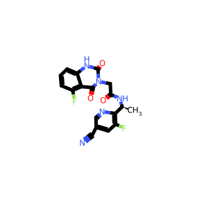 C[C@@H](NC(=O)Cn1c(=O)[nH]c2cccc(F)c2c1=O)c1ncc(C#N)cc1F